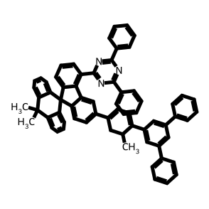 CC1CC(c2ccc3c(c2)-c2c(-c4nc(-c5ccccc5)nc(-c5ccccc5)n4)cccc2C32c3ccccc3C(C)(C)c3ccccc32)=CC=C1c1cc(-c2ccccc2)cc(-c2ccccc2)c1